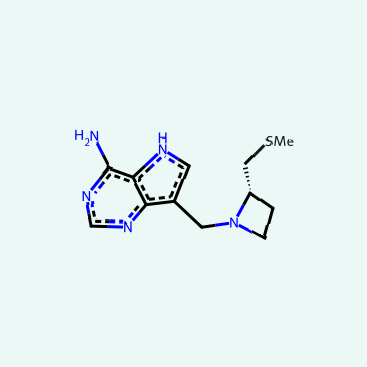 CSC[C@@H]1CCN1Cc1c[nH]c2c(N)ncnc12